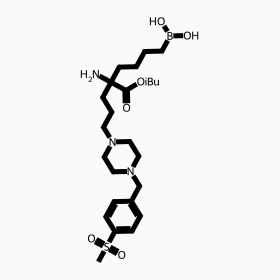 CC(C)COC(=O)C(N)(CCCCB(O)O)CCCN1CCN(Cc2ccc(S(C)(=O)=O)cc2)CC1